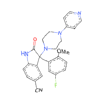 COc1ccc(F)cc1C1(N2CCN(c3ccncc3)CC2)C(=O)Nc2ccc(C#N)cc21